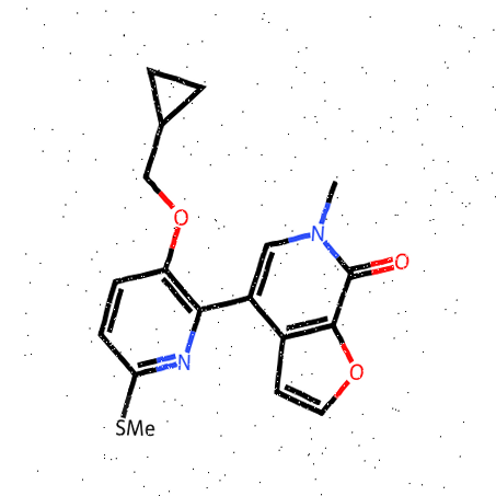 CSc1ccc(OCC2CC2)c(-c2cn(C)c(=O)c3occc23)n1